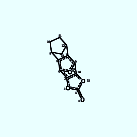 O=c1oc2c3oc(c4c3C3CCC4C3)c2o1